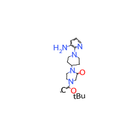 C=C=C(OC(C)(C)C)N1CCN(C2CCN(c3ncccc3N)CC2)C(=O)C1